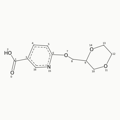 O=C(O)c1ccc(OCC2COCCO2)nc1